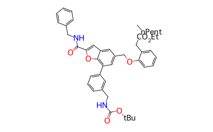 CCCCCC.CCOC(=O)Cc1ccccc1OCc1cc(-c2cccc(CNC(=O)OC(C)(C)C)c2)c2oc(C(=O)NCc3ccccc3)cc2c1